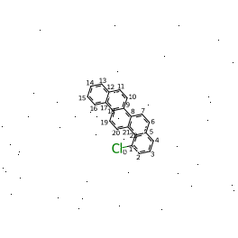 Clc1cccc2ccc3c4ccc5ccccc5c4ccc3c12